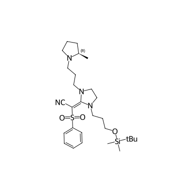 C[C@@H]1CCCN1CCCN1CCN(CCCO[Si](C)(C)C(C)(C)C)C1=C(C#N)S(=O)(=O)c1ccccc1